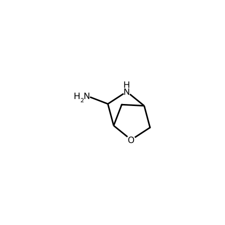 NC1NC2COC1C2